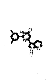 Cc1cc(C)cc(-c2nc(-c3c[nH]c4ncccc34)cc(=O)[nH]2)c1